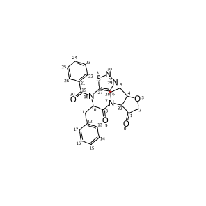 O=C1COC2CCN(C(=O)C(Cc3ccccc3)N(C(=O)c3ccccc3)c3cnns3)C12